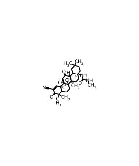 CNC(=O)N[C@]12CCC(C)(C)CC1[C@H]1C(=O)C=C3[C@@]4(C)C=C(C#N)C(=O)C(C)(C)C4CC[C@@]3(C)[C@]1(C)CC2